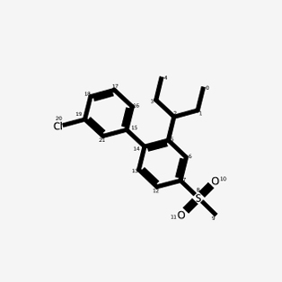 CCC(CC)c1cc(S(C)(=O)=O)ccc1-c1cccc(Cl)c1